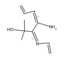 C=C/C=C(N)\C(=N/C=C)C(C)(C)O